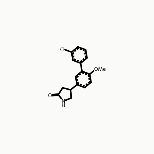 COc1ccc(C2CNC(=O)C2)cc1-c1cccc(Cl)c1